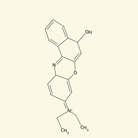 CC[N+](CC)=C1C=CC2N=C3C(=CC(O)c4ccccc43)OC2=C1